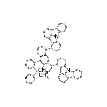 CC1(C)c2ccccc2-c2cccc(-c3c4cccc(-c5cccc6c5c5cccc7c8ccccc8n6c75)c4cc4c(-c5cccc6c5c5cccc7c8ccccc8n6c75)cccc34)c21